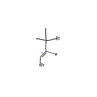 CCC/C=C(\F)C(C)(C)CC